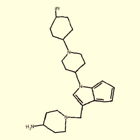 CC(C)C1CCC(N2CCC(n3cc(CN4CCC(N)CC4)c4ccccc43)CC2)CC1